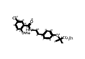 CCOC(=O)C(C)(C)Oc1ccc(CCNC(=O)c2cc(Cl)ccc2OC)cc1